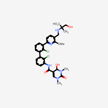 COc1nc(-c2cccc(-c3cccc(NC(=O)C4=CN(C)C(=O)N(C)C4O)c3Cl)c2Cl)ccc1CNC(C)(CO)C(=O)O